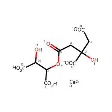 O=C([O-])CC(O)(CC(=O)OC(C(=O)O)C(O)C(=O)O)C(=O)[O-].[Ca+2]